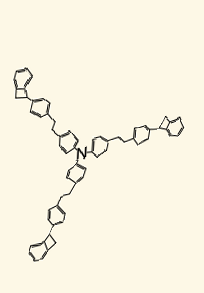 c1ccc2c(c1)CC2c1ccc(CCc2ccc(N(c3ccc(CCc4ccc(C5Cc6ccccc65)cc4)cc3)c3ccc(CCc4ccc(C5Cc6ccccc65)cc4)cc3)cc2)cc1